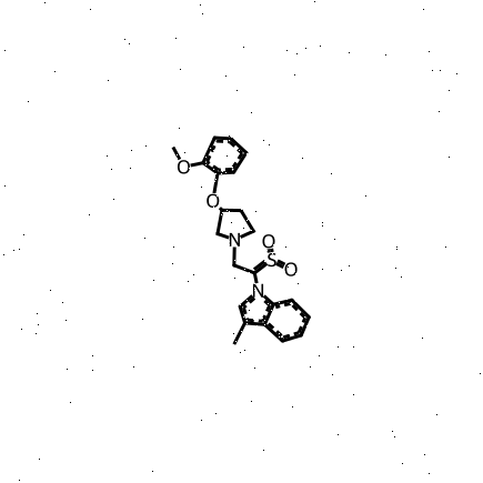 COc1ccccc1OC1CCN(CC(n2cc(C)c3ccccc32)=S(=O)=O)C1